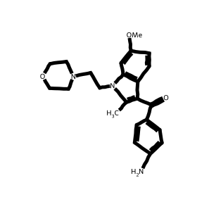 COc1ccc2c(C(=O)c3ccc(N)cc3)c(C)n(CCN3CCOCC3)c2c1